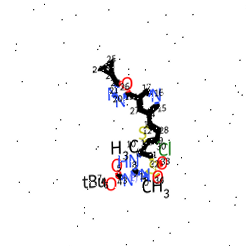 CN1/C(=N/C(=O)OC(C)(C)C)N[C@](C)(c2sc(-c3cncc(-c4nnc(C5CC5)o4)c3)cc2Cl)CS1(=O)=O